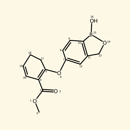 COC(=O)C1=C(Oc2ccc3c(c2)COB3O)CCC=C1